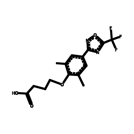 Cc1cc(-c2noc(C(F)(F)F)n2)cc(C)c1OCCCC(=O)O